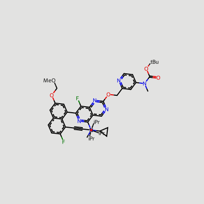 COCOc1cc(-c2nc(N(C)C3CC3)c3cnc(OCc4cc(N(C)C(=O)OC(C)(C)C)ccn4)nc3c2F)c2c(C#C[Si](C(C)C)(C(C)C)C(C)C)c(F)ccc2c1